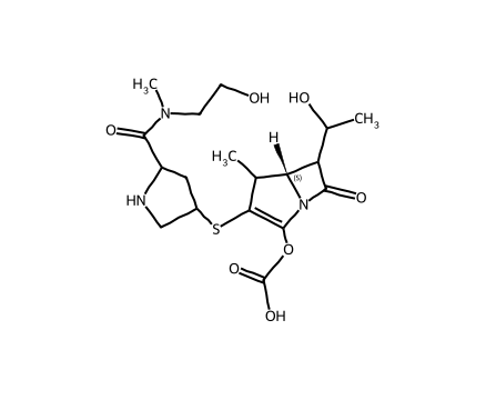 CC(O)C1C(=O)N2C(OC(=O)O)=C(SC3CNC(C(=O)N(C)CCO)C3)C(C)[C@H]12